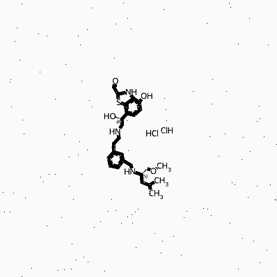 COC[C@H](CC(C)C)NCc1cccc(CCNC[C@H](O)c2ccc(O)c3c2SC(C=O)N3)c1.Cl.Cl